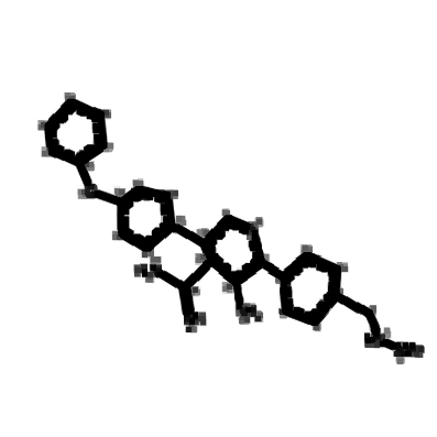 CSNCc1ccc(-c2ncc(-c3ccc(Oc4ccccc4)cc3)c(C(=N)N)c2N)cc1